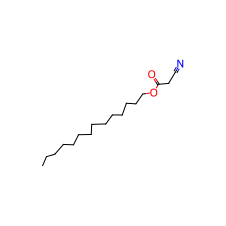 CCCCCCCCCCCCCCOC(=O)CC#N